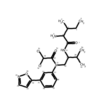 CCC(C)C(N)C(=O)NC(CN(C(=O)C(Cl)Cl)c1cccc(-c2ccno2)c1)C(C)C